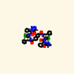 CN[C@@H](C)C(=O)N[C@H](C(=O)N1CC(F)(F)C[C@H]1CN(CCc1ccccc1)C(=O)c1ccc2cc(C(=O)N(CCc3ccccc3)C[C@@H]3CC(F)(F)CN3C(=O)[C@@H](NC(=O)[C@H](C)NC)C3CCCCC3)ccc2c1)C1CCCCC1